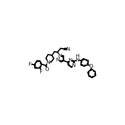 N#CCC(CC1CCN(C(=O)c2ccc(F)cc2F)CC1)n1cc(-c2ccnc(Nc3ccc(Oc4ccccc4)cc3)n2)cn1